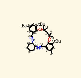 Cc1cc2c(c(C(C)(C)C)c1)OC(C)(C)CC(C)(C)Oc1c(cc(C(C)(C)C)cc1C(C)(C)C)/C=N/C1CCCCC1/N=C/2